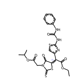 CCOC(=O)/C(=C1\SC(=S)N(CC(=O)OC(C)C)C1=O)c1csc(NC(=O)Nc2ccccc2)n1